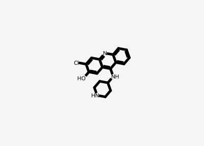 Oc1cc2c(NC3CCNCC3)c3ccccc3nc2cc1Cl